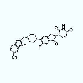 N#Cc1ccc2cc(CN3CCC(c4cc5c(cc4F)C(=O)N(C4CCC(=O)NC4=O)C5)CC3)[nH]c2c1